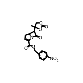 CC1(C2C(=O)N3C(C(=O)OCc4ccc([N+](=O)[O-])cc4)=CCC23)COC(=O)O1